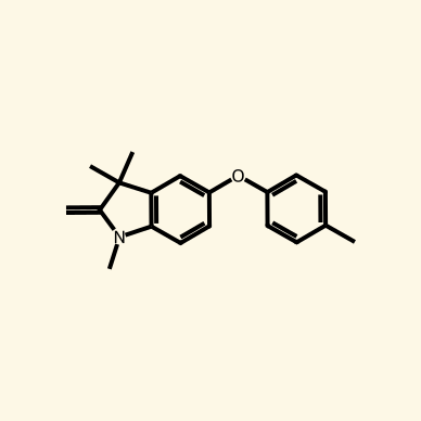 C=C1N(C)c2ccc(Oc3ccc(C)cc3)cc2C1(C)C